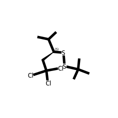 CC(C)[C@H](CC(Cl)(Cl)Cl)SSC(C)(C)C